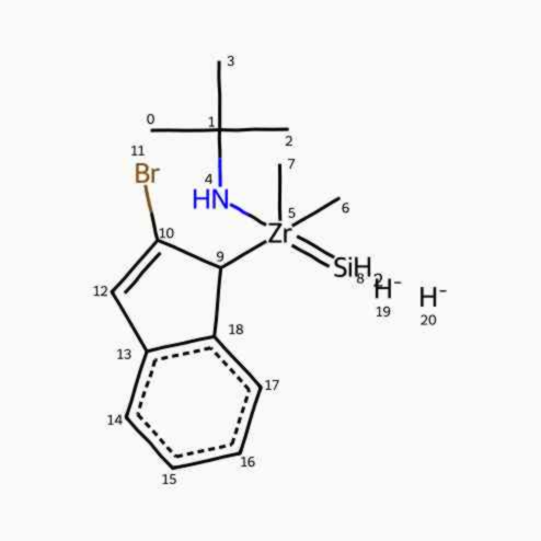 CC(C)(C)[NH][Zr]([CH3])([CH3])(=[SiH2])[CH]1C(Br)=Cc2ccccc21.[H-].[H-]